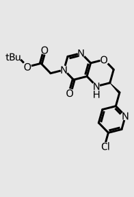 CC(C)(C)OC(=O)Cn1cnc2c(c1=O)N[C@H](Cc1ccc(Cl)cn1)CO2